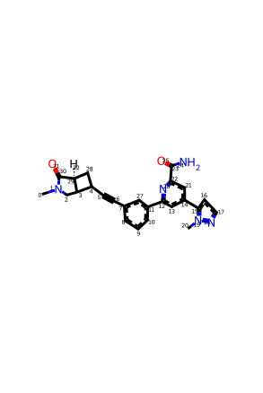 CN1CC2C(C#Cc3cccc(-c4cc(-c5ccnn5C)cc(C(N)=O)n4)c3)C[C@@H]2C1=O